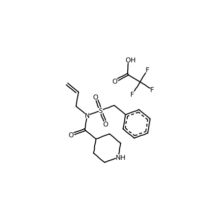 C=CCN(C(=O)C1CCNCC1)S(=O)(=O)Cc1ccccc1.O=C(O)C(F)(F)F